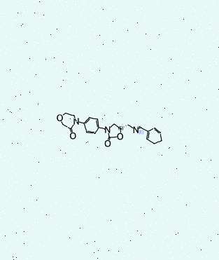 O=C1COCCN1c1ccc(N2C[C@H](C/N=C/C3=CCCC=C3)OC2=O)cc1